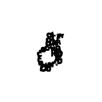 CC(C)C[C@H](NC(=O)[C@@H]1COCCCCOc2ccccc2C(=O)N[C@@H](C)C(=O)N2CCC[C@H]2C(=O)N1)C(=O)[C@@]1(C)CO1